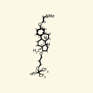 CCCC(OCCCO[C@H]1CC[C@H]2[C@@H]3CCc4cc(OCCNC)ccc4C3CC[C@]12C)(C(F)(F)F)C(F)(F)F